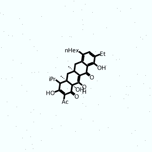 CCCCCCc1cc(CC)c(O)c2c1C[C@]1(C)C[C@]3(C)C(C(C)C)C(O)=C(C(C)=O)C(=O)[C@]3(O)C(O)=C1C2=O